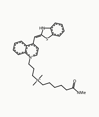 CNC(=O)CCCCC[N+](C)(C)CCC[n+]1ccc(/C=C2/Nc3ccccc3S2)c2ccccc21